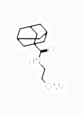 COCCNC(=O)C12CC3CC(CC(C3)C1)C2